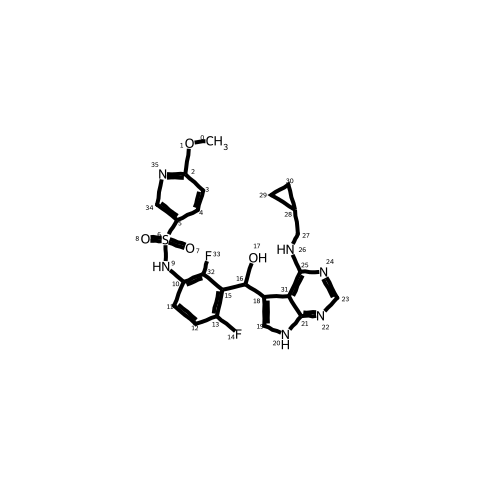 COc1ccc(S(=O)(=O)Nc2ccc(F)c(C(O)c3c[nH]c4ncnc(NCC5CC5)c34)c2F)cn1